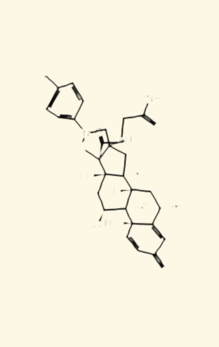 C[C@]12C=CC(=O)C=C1[C@@H](F)C[C@H]1[C@@H]3C[C@H]4CN(c5ccc(Cl)cc5)O[C@@]4(C(=O)SCC(N)=O)[C@@]3(C)C[C@H](O)[C@@]12F